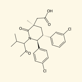 CC(=O)C(C(C)C)N1C(=O)[C@@](C)(CC(=O)O)C[C@H](c2cccc(Cl)c2)[C@H]1c1ccc(Cl)cc1